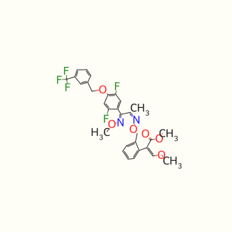 COC=C(C(=O)OC)c1ccccc1CON=C(C)C(=NOC)c1cc(F)c(OCc2cccc(C(F)(F)F)c2)cc1F